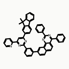 CC1(C)c2ccccc2-c2ccc(-c3cc(-c4ccccn4)nc(-c4cccc(-c5ccc6ccc7c(-c8ccccc8)nc(-c8ccccc8)nc7c6c5)c4)n3)cc21